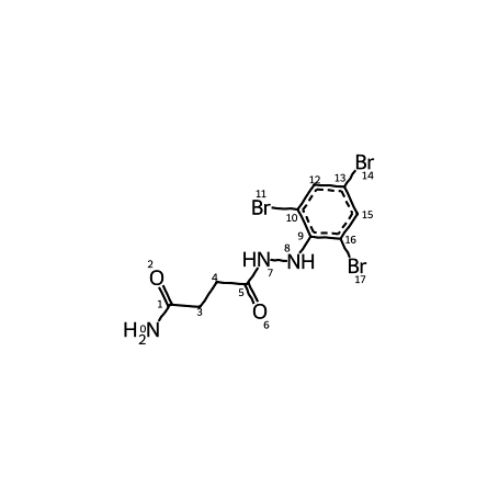 NC(=O)CCC(=O)NNc1c(Br)cc(Br)cc1Br